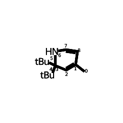 CC1=CC(C(C)(C)C)(C(C)(C)C)NC=C1